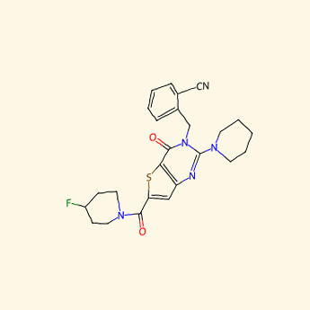 N#Cc1ccccc1Cn1c(N2CCCCC2)nc2cc(C(=O)N3CCC(F)CC3)sc2c1=O